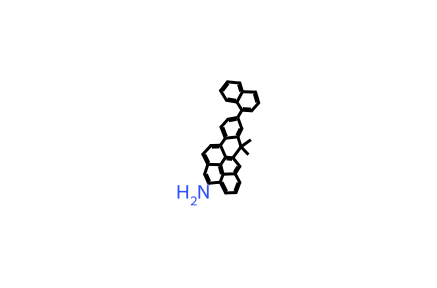 CC1(C)c2cc(-c3cccc4ccccc34)ccc2-c2ccc3cc(N)c4cccc5cc1c2c3c54